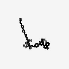 CN(CC(=O)NCCCOCCOCCOCCCC#N)C(=O)CCN1CCN(c2cc(-c3ccc(F)c4ccccc34)nc(N)n2)CC1